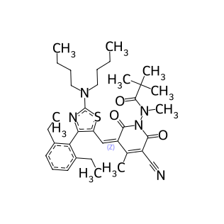 CCCCN(CCCC)c1nc(-c2c(CC)cccc2CC)c(/C=C2\C(=O)N(N(C)C(=O)C(C)(C)C)C(=O)C(C#N)=C2C)s1